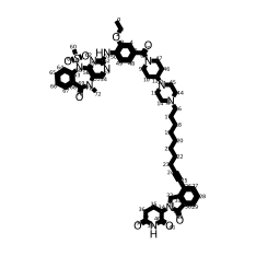 CCOc1cc(C(=O)N2CCC(N3CCN(CCCCCCCCC#Cc4cccc5c4CN(C4CCC(=O)NC4=O)C5=O)CC3)CC2)ccc1Nc1ncc2c(n1)N(S(C)(=O)=O)c1ccccc1C(=O)N2C